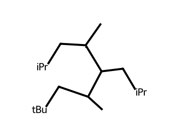 C[C](CC(C)C)C(CC(C)C)C(C)CC(C)(C)C